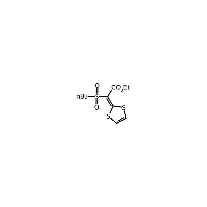 CCCCS(=O)(=O)C(C(=O)OCC)=C1SC=CS1